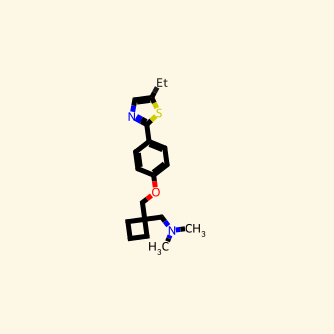 CCc1cnc(-c2ccc(OCC3(CN(C)C)CCC3)cc2)s1